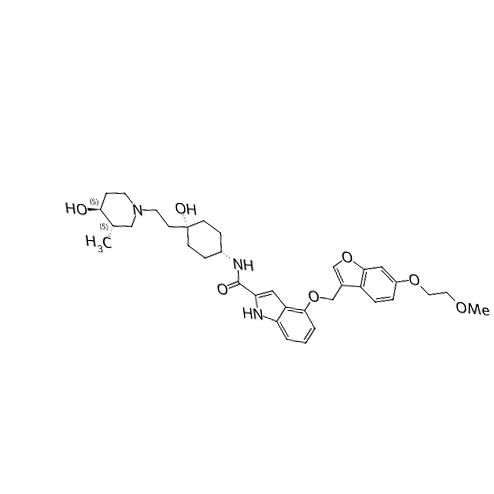 COCCOc1ccc2c(COc3cccc4[nH]c(C(=O)N[C@H]5CC[C@](O)(CCN6CC[C@H](O)[C@@H](C)C6)CC5)cc34)coc2c1